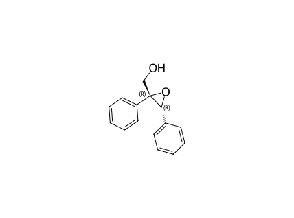 OC[C@@]1(c2ccccc2)O[C@@H]1c1ccccc1